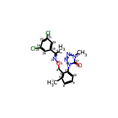 CC(=NOCc1c(C)cccc1-n1nnn(C)c1=O)c1cc(Cl)cc(Cl)c1